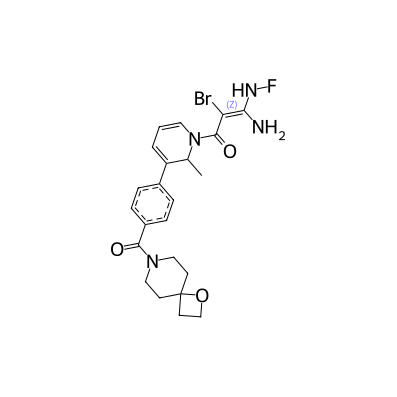 CC1C(c2ccc(C(=O)N3CCC4(CCO4)CC3)cc2)=CC=CN1C(=O)/C(Br)=C(\N)NF